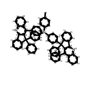 Cc1ccc(N(c2ccc(C3(c4ccccc4)c4ccccc4-c4nc5ccccc5c(-c5ccccc5)c43)cc2)c2ccc(C3(c4ccccc4)c4ccccc4-c4nc5ccccc5c(-c5ccccc5)c43)cc2)cc1